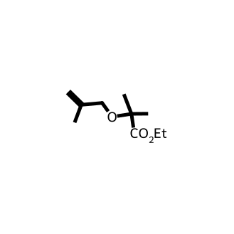 C=C(C)COC(C)(C)C(=O)OCC